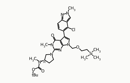 CN(C(=O)OC(C)(C)C)[C@@H]1CCN(c2nc3c(c(-c4ccc5nn(C)cc5c4Cl)cn3COCC[Si](C)(C)C)c(=O)n2C)C1